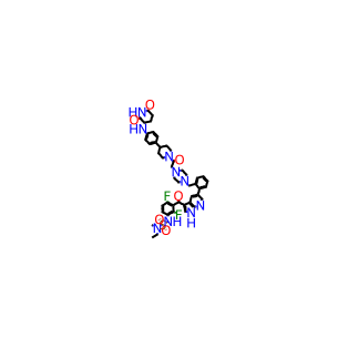 CCN(C)S(=O)(=O)Nc1ccc(F)c(C(=O)c2c[nH]c3ncc(-c4ccccc4CN4CCN(CC(=O)N5CCC(c6ccc(NC7CCC(=O)NC7=O)cc6)CC5)CC4)cc23)c1F